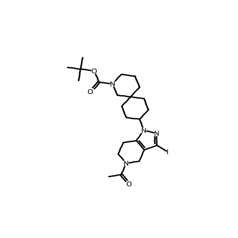 CC(=O)N1CCc2c(c(I)nn2C2CCC3(CCCN(C(=O)OC(C)(C)C)C3)CC2)C1